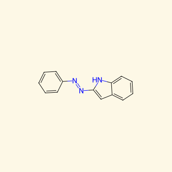 c1ccc(N=Nc2cc3ccccc3[nH]2)cc1